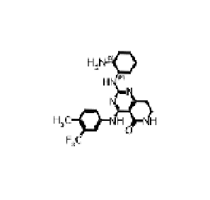 Cc1ccc(Nc2nc(N[C@@H]3CCCC[C@@H]3N)nc3c2C(=O)NCC3)cc1C(F)(F)F